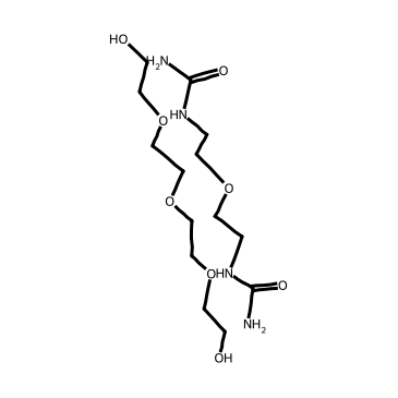 NC(=O)NCCOCCNC(N)=O.OCCOCCOCCOCCO